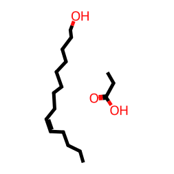 CCC(=O)O.CCCC/C=C\CCCCCCCCO